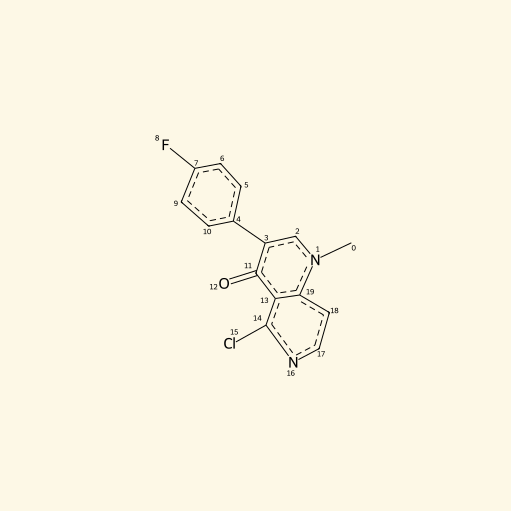 Cn1cc(-c2ccc(F)cc2)c(=O)c2c(Cl)nccc21